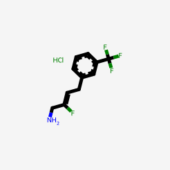 Cl.NC/C(F)=C/Cc1cccc(C(F)(F)F)c1